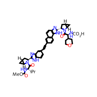 COC(=O)N[C@H](C(=O)N1[C@@H]2C[C@@H]2C[C@H]1c1nc2cc(C#Cc3ccc4c(ccc5nc([C@@H]6C[C@H]7C[C@H]7N6C(=O)[C@@H](NC(=O)O)C6CCOCC6)[nH]c54)c3)ccc2[nH]1)C(C)C